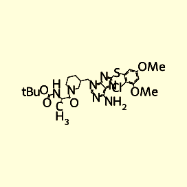 COc1cc(OC)c(Cl)c(Sc2nc3c(N)ncn(CC4CCCN(C(=O)[C@H](C)NC(=O)OC(C)(C)C)C4)c-3n2)c1